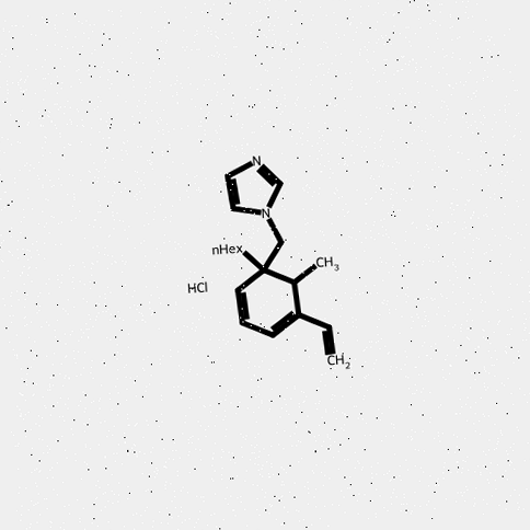 C=CC1=CC=CC(CCCCCC)(Cn2ccnc2)C1C.Cl